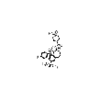 N=S1(=O)CCC(C(=O)N2CC[C@]3(S(=O)(=O)c4ccc(F)cc4)c4ccc(C(F)(C(F)(F)F)C(F)(F)F)cc4CCC[C@H]23)CC1